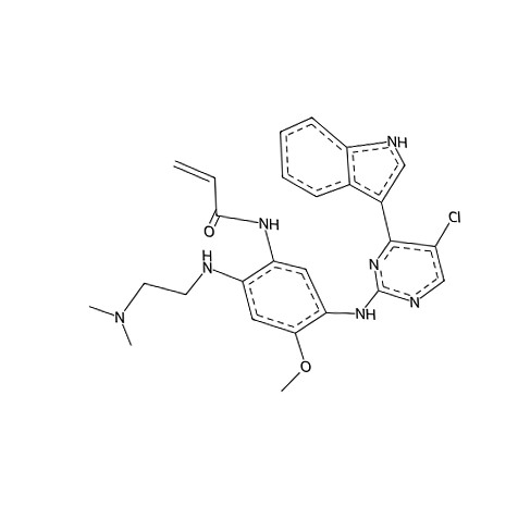 C=CC(=O)Nc1cc(Nc2ncc(Cl)c(-c3c[nH]c4ccccc34)n2)c(OC)cc1NCCN(C)C